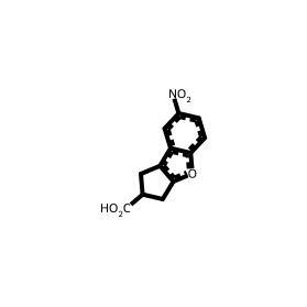 O=C(O)C1Cc2oc3ccc([N+](=O)[O-])cc3c2C1